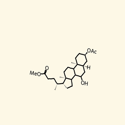 COC(=O)CC[C@@H](C)[C@H]1CCC2C3C(O)C[C@@H]4C[C@H](OC(C)=O)CC[C@]4(C)C3CC[C@@]21C